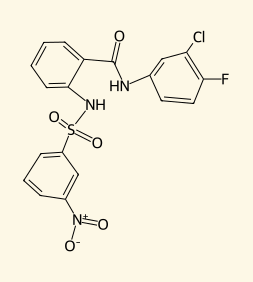 O=C(Nc1ccc(F)c(Cl)c1)c1ccccc1NS(=O)(=O)c1cccc([N+](=O)[O-])c1